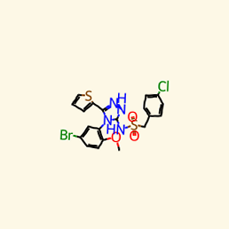 COc1ccc(Br)cc1N1C(c2cccs2)=NNC1NS(=O)(=O)Cc1ccc(Cl)cc1